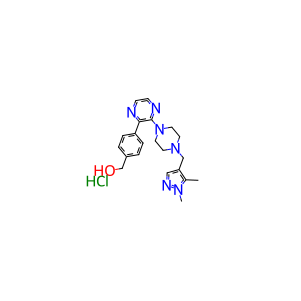 Cc1c(CN2CCN(c3nccnc3-c3ccc(CO)cc3)CC2)cnn1C.Cl